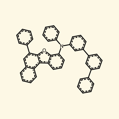 c1ccc(-c2cccc(-c3cccc(N(c4ccccc4)c4cccc5c4oc4c(-c6ccccc6)cc6ccccc6c45)c3)c2)cc1